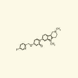 CN1CCc2c(c3ccc(-n4ccc(OCc5ccc(F)cn5)cc4=O)cc3n2C)C1